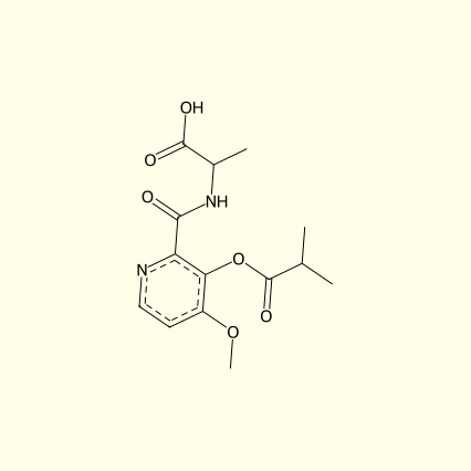 COc1ccnc(C(=O)NC(C)C(=O)O)c1OC(=O)C(C)C